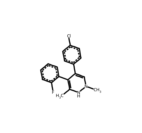 CC1=C(c2ccccc2F)C(c2ccc(Cl)cc2)=CN(C)N1